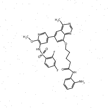 COc1ncc(-c2cc(OCCCCC(=O)Nc3ccccc3N)c3ncnc(C)c3c2)cc1NS(=O)(=O)c1ccc(F)cc1F